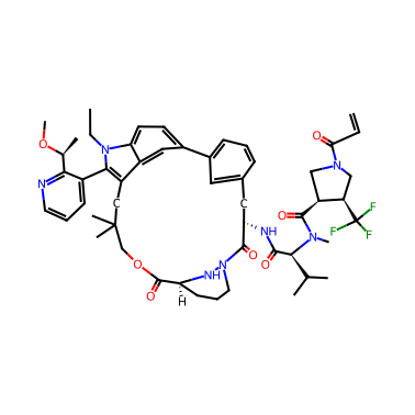 C=CC(=O)N1C[C@H](C(=O)N(C)[C@H](C(=O)N[C@H]2Cc3cccc(c3)-c3ccc4c(c3)c(c(-c3cccnc3[C@H](C)OC)n4CC)CC(C)(C)COC(=O)[C@@H]3CCCN(N3)C2=O)C(C)C)[C@H](C(F)(F)F)C1